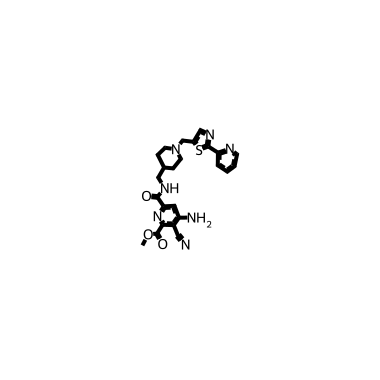 COC(=O)c1nc(C(=O)NCC2CCN(Cc3cnc(-c4ccccn4)s3)CC2)cc(N)c1C#N